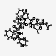 CCCC(NC(=O)[C@@H]1C[C@@H]2CCCC[C@@H]2N1C(=O)[C@@H](NC(=O)[C@@H](NC(=O)c1cnccn1)C1CCCCC1)C(C)C)C(=O)C(=O)NC1CC1